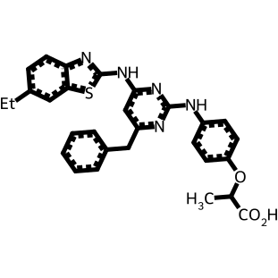 CCc1ccc2nc(Nc3cc(Cc4ccccc4)nc(Nc4ccc(OC(C)C(=O)O)cc4)n3)sc2c1